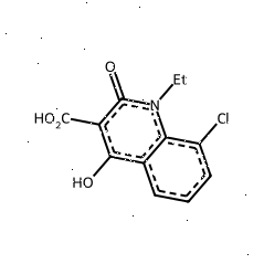 CCn1c(=O)c(C(=O)O)c(O)c2cccc(Cl)c21